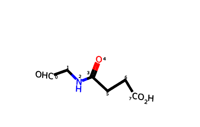 O=CCNC(=O)CCC(=O)O